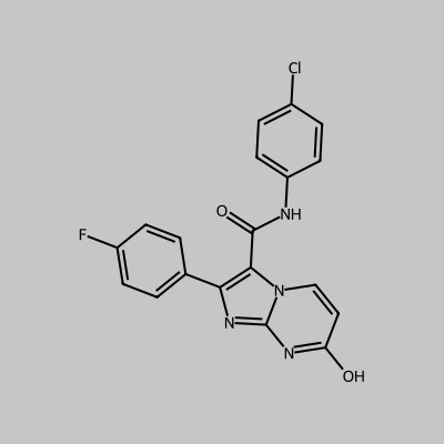 O=C(Nc1ccc(Cl)cc1)c1c(-c2ccc(F)cc2)nc2nc(O)ccn12